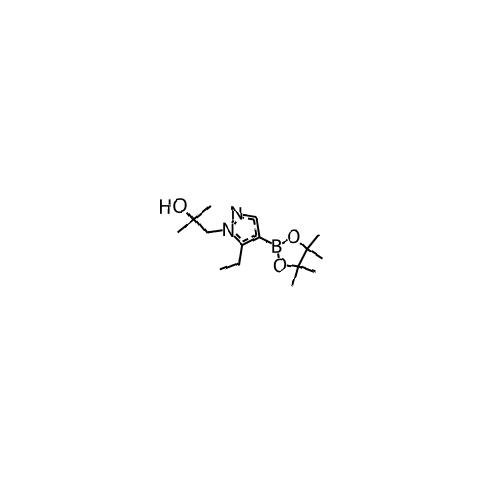 CCc1c(B2OC(C)(C)C(C)(C)O2)cnn1CC(C)(C)O